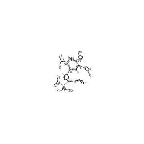 COc1cc(OC(C#N)C(N(C)C)N(C)C)c(C(C)C)nc1OC